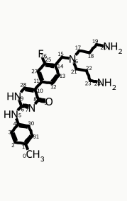 Cc1ccc(Nc2nc(=O)c(-c3ccc(CN(CCCN)CCCN)c(F)c3)c[nH]2)cc1